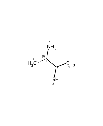 CC(S)[C@H](C)N